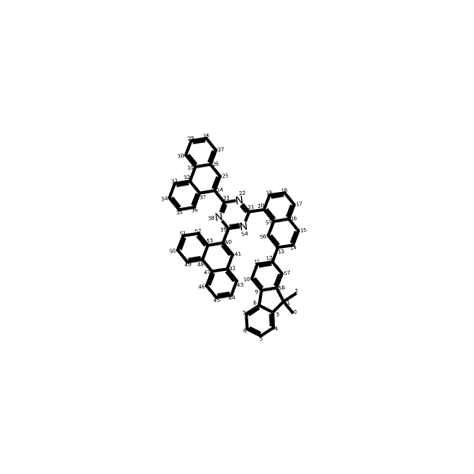 CC1(C)c2ccccc2-c2ccc(-c3ccc4cccc(-c5nc(-c6cc7ccccc7c7ccccc67)nc(-c6cc7ccccc7c7ccccc67)n5)c4c3)cc21